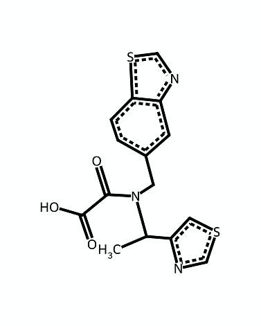 CC(c1cscn1)N(Cc1ccc2scnc2c1)C(=O)C(=O)O